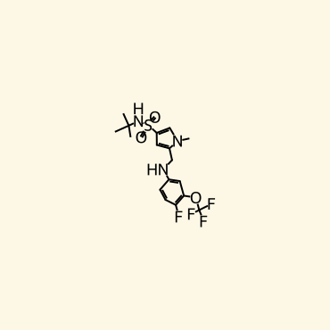 Cn1cc(S(=O)(=O)NC(C)(C)C)cc1CNc1ccc(F)c(OC(F)(F)F)c1